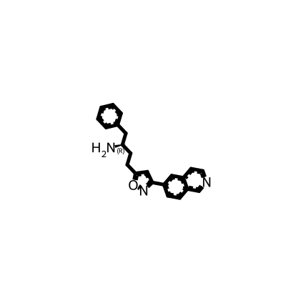 N[C@H](CCc1cc(-c2ccc3cnccc3c2)no1)Cc1ccccc1